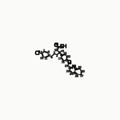 CC(CCCc1ccc(Cl)cc1)(CC(=O)S)c1ccc(OCc2ccc3ccccc3n2)cc1